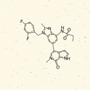 CCS(=O)(=O)Nc1cc(-c2cn(C)c(=O)c3[nH]ccc23)cc2c1nc(C)n2Cc1ccc(F)cc1F